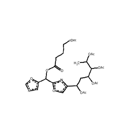 CCCCCCCCCCCCCC(=O)OC(c1cnco1)c1nc(C(CC(OC(C)=O)C(OC(C)=O)C(C)OC(C)=O)OC(C)=O)co1